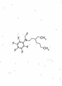 CCCCC(CC)CCN(CF)c1c(F)c(F)c(F)c(F)c1F